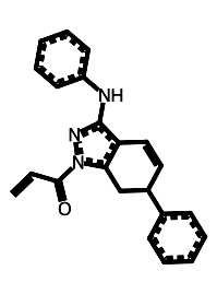 C=CC(=O)n1nc(Nc2ccccc2)c2c1CC(c1ccccc1)C=C2